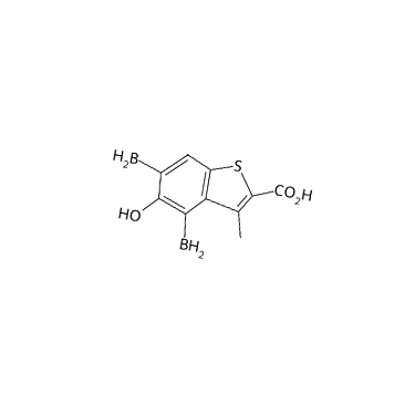 Bc1cc2sc(C(=O)O)c(C)c2c(B)c1O